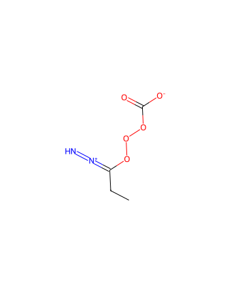 CCC(=[N+]=N)OOOC(=O)[O-]